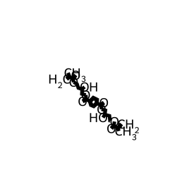 C=C(C)C(=O)OCCC(O)COC(=O)c1ccc(C(=O)OCC(O)CCOC(=O)C(=C)C)cc1